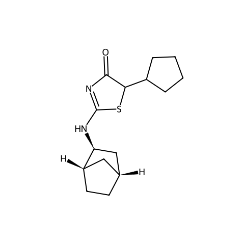 O=C1N=C(N[C@H]2C[C@@H]3CC[C@H]2C3)SC1C1CCCC1